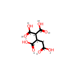 O=C(O)CC(C(=O)O)C(C(=O)O)C(=O)O